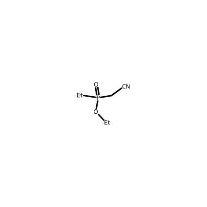 CCOP(=O)(CC)CC#N